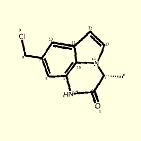 C[C@@H]1C(=O)Nc2cc(CCl)cc3ccn1c23